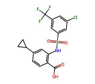 O=C(O)c1ccc(C2CC2)cc1NS(=O)(=O)c1cc(Cl)cc(C(F)(F)F)c1